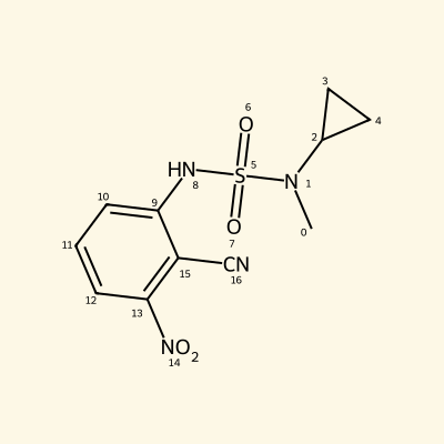 CN(C1CC1)S(=O)(=O)Nc1cccc([N+](=O)[O-])c1C#N